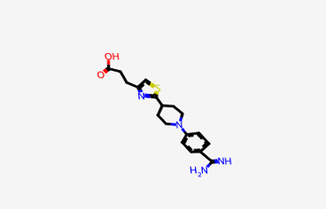 N=C(N)c1ccc(N2CCC(c3nc(CCC(=O)O)cs3)CC2)cc1